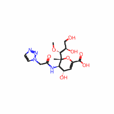 CO[C@H]([C@H](O)CO)[C@]1(C)OC(C(=O)O)=C[C@H](O)[C@H]1NC(=O)Cn1ccnn1